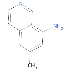 Cc1cc(N)c2cnccc2c1